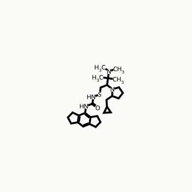 CN(C)C(C)(C)C(CSNC(=O)Nc1c2c(cc3c1CCC3)CCC2)N1CCCC1CC1CC1